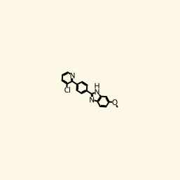 COc1ccc2nc(-c3ccc(-c4ncccc4Cl)cc3)[nH]c2c1